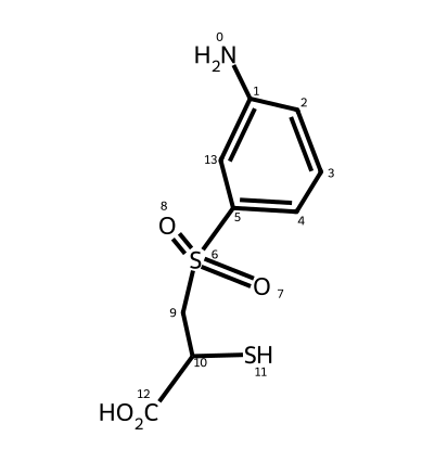 Nc1cccc(S(=O)(=O)CC(S)C(=O)O)c1